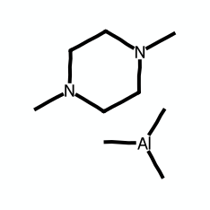 CN1CCN(C)CC1.[CH3][Al]([CH3])[CH3]